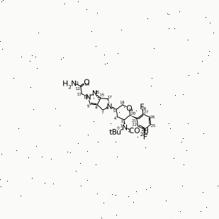 CC(C)(C)N(C(=O)O)[C@H]1C[C@@H](N2Cc3cn(CC(N)=O)nc3C2)CO[C@H]1c1cc(F)ccc1F